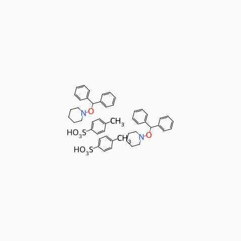 Cc1ccc(S(=O)(=O)O)cc1.Cc1ccc(S(=O)(=O)O)cc1.c1ccc(C(ON2CCCCC2)c2ccccc2)cc1.c1ccc(C(ON2CCCCC2)c2ccccc2)cc1